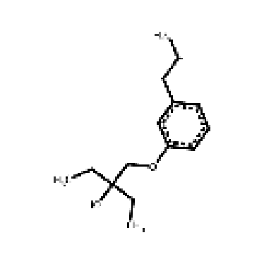 C[CH]Cc1cccc(OCC(O)(CC)CC)c1